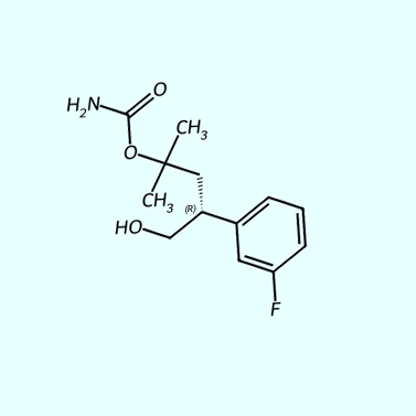 CC(C)(C[C@@H](CO)c1cccc(F)c1)OC(N)=O